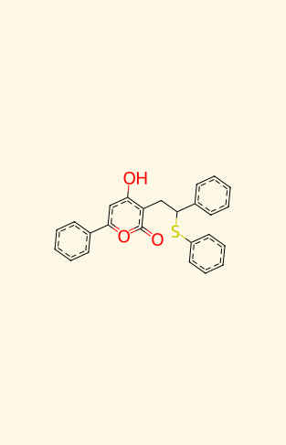 O=c1oc(-c2ccccc2)cc(O)c1CC(Sc1ccccc1)c1ccccc1